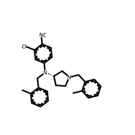 [C-]#[N+]c1ccc(N(Cc2ccccc2C)[C@H]2CCN(Cc3ccccc3C)C2)cc1Cl